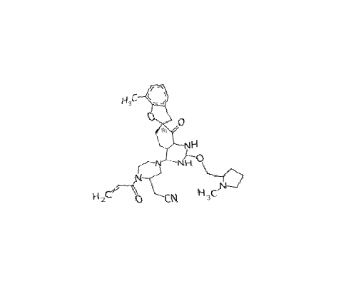 C=CC(=O)N1CCN(C2NC(OCC3CCCN3C)NC3C(=O)[C@@]4(CCC32)Cc2cccc(C)c2O4)CC1CC#N